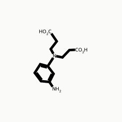 Nc1cccc(N(CCC(=O)O)CCC(=O)O)c1